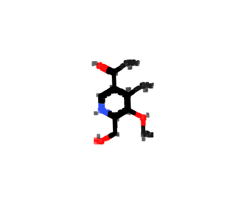 CCCCOc1c(CO)ncc(C(=O)OC)c1OC(C)=O